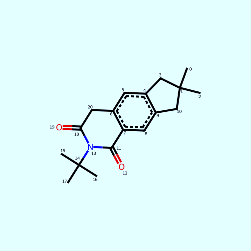 CC1(C)Cc2cc3c(cc2C1)C(=O)N(C(C)(C)C)C(=O)C3